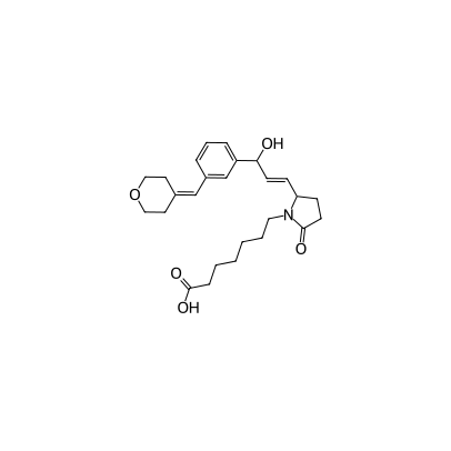 O=C(O)CCCCCCN1C(=O)CCC1C=CC(O)c1cccc(C=C2CCOCC2)c1